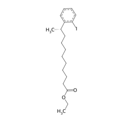 CCOC(=O)CCCCCCCC[C@H](C)c1ccccc1I